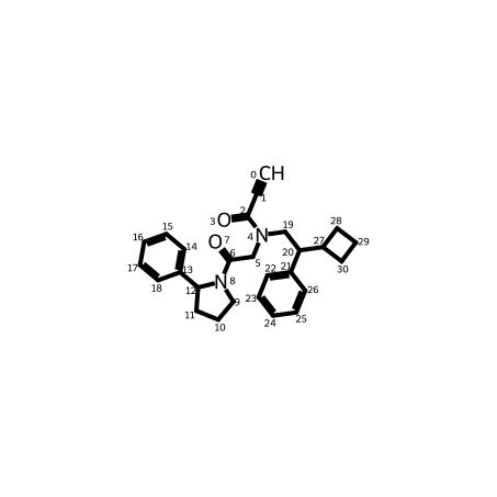 C#CC(=O)N(CC(=O)N1CCCC1c1ccccc1)CC(c1ccccc1)C1CCC1